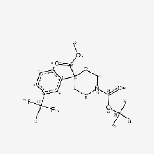 COC(=O)C1(c2cccc(C(F)(F)F)c2)CCN(C(=O)OC(C)(C)C)CC1